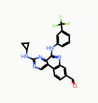 O=Cc1ccc2c(c1)nc(Nc1cccc(C(F)(F)F)c1)c1nc(NC3CC3)ncc12